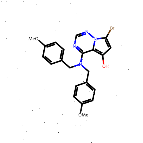 COc1ccc(CN(Cc2ccc(OC)cc2)c2ncnn3c(Br)cc(O)c23)cc1